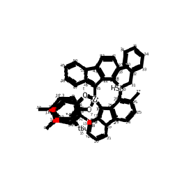 Cc1ccc([O][Zr]2([O]c3ccc(C)cc3C(C)(C)C)[C]3=C4C=CC=CC4c4ccc(C)c(c43)[SiH](Cc3ccccc3)c3c(C)ccc4c3[C]2=C2C=CC=CC24)c(C(C)(C)C)c1